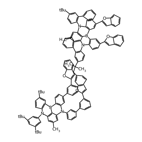 Cc1cc2c3c(c1)N(c1cccc(-c4cccc(-c5cc6ccc(CC(C)(C)c7ccc(N8c9ccc(-c%10cc%11ccccc%11o%10)cc9B9c%10cc(-c%11cc%12ccccc%12o%11)ccc%10N(c%10ccc(C(C)(C)C)cc%10-c%10ccccc%10)c%10cc(C)cc8c%109)c(-c8ccccc8)c7)cc6o5)c4)c1)c1cc(-c4cccc(-c5cc6ccccc6o5)c4)ccc1B3c1cc(C(C)(C)C)ccc1N2c1cc(C(C)(C)C)cc(C(C)(C)C)c1